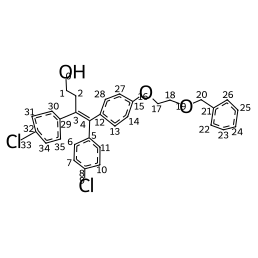 OCCC(=C(c1ccc(Cl)cc1)c1ccc(OCCOCc2ccccc2)cc1)c1ccc(Cl)cc1